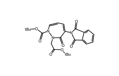 CC(C)(C)OC(=O)CN1C(=O)C(N2C(=O)c3ccccc3C2=O)=CC=CN1C(=O)OC(C)(C)C